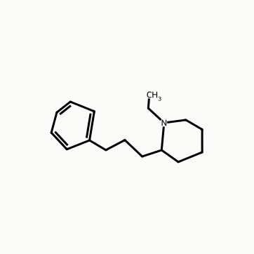 CCN1CCCCC1CCCc1ccccc1